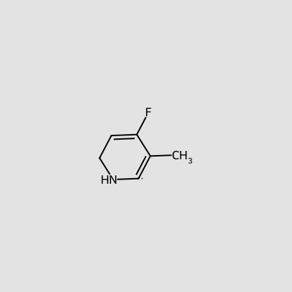 CC1=[C]NCC=C1F